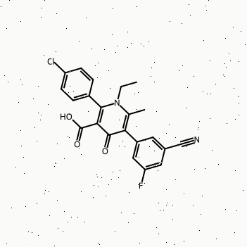 CCn1c(C)c(-c2cc(F)cc(C#N)c2)c(=O)c(C(=O)O)c1-c1ccc(Cl)cc1